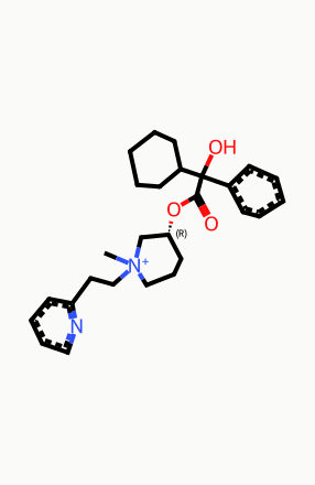 C[N+]1(CCc2ccccn2)CCC[C@@H](OC(=O)C(O)(c2ccccc2)C2CCCCC2)C1